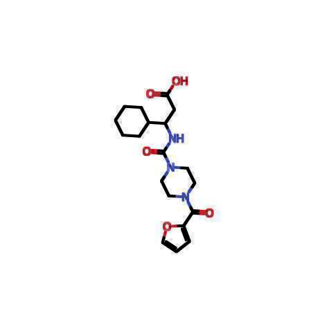 O=C(O)CC(NC(=O)N1CCN(C(=O)c2ccco2)CC1)C1CCCCC1